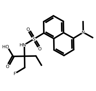 CCC(CF)(NS(=O)(=O)c1cccc2c(N(C)C)cccc12)C(=O)O